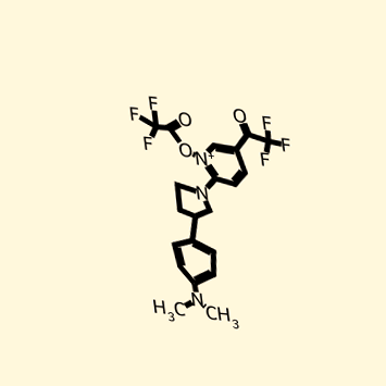 CN(C)c1ccc(C2CCN(c3ccc(C(=O)C(F)(F)F)c[n+]3OC(=O)C(F)(F)F)C2)cc1